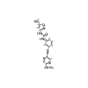 CC(=O)Nc1cnc(C#Cc2cccc(NC(=O)Nc3cc(C(C)(C)C)on3)c2)cn1